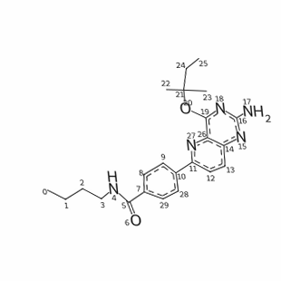 CCCCNC(=O)c1ccc(-c2ccc3nc(N)nc(OC(C)(C)CC)c3n2)cc1